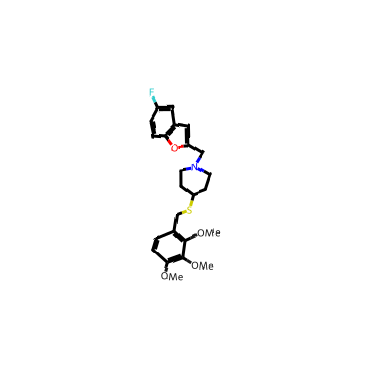 COc1ccc(CSC2CCN(Cc3cc4cc(F)ccc4o3)CC2)c(OC)c1OC